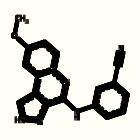 COc1ccc2nc(Nc3cccc(C#N)c3)c3n[nH]cc3c2c1